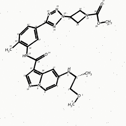 COC[C@@H](C)Nc1ccn2ncc(C(=O)Nc3cc(-c4nnn(C5CN(C(=O)OC)C5)n4)ccc3C)c2c1